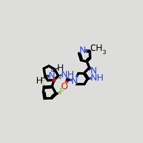 Cc1cc(-c2n[nH]c3c2CN(C(=O)N[C@H]2CC[C@H]4CC[C@@H]2N4Cc2c(F)cccc2F)CC3)ccn1